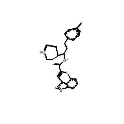 O=C(NC(CCc1ccc(F)cc1)C1CCNCC1)C1=Cc2n[nH]c3cccc(c23)S1